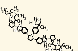 COC(=O)N[C@H](C(=O)N1CCC[C@H]1c1nc2cc([C@H]3CC[C@H](c4ccc5c(c4)NC([C@@H]4CCCN4C(=O)[C@@H](NC(=O)OC)C(C)C)N5)N3c3ccc(C(C)(C)CO)cc3)ccc2[nH]1)C(C)C